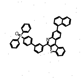 O=P(c1ccccc1)(c1ccccc1)c1ccc(-c2cccc(-c3nc4cc(-c5cccc6ccccc56)ccc4c4c3sc3ccccc34)c2)cc1